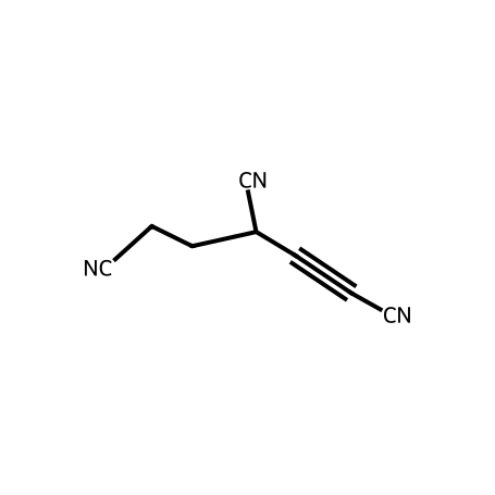 N#CC#CC(C#N)CCC#N